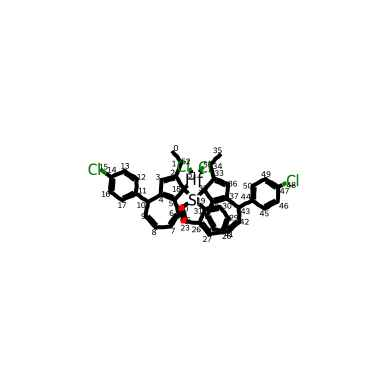 CCC1=CC2=C(C=CC=CC2c2ccc(Cl)cc2)[C]12[Si]1(c3ccccc3-c3ccccc31)[C]1(C(CC)=CC3=C1C=CC=CC3c1ccc(Cl)cc1)[Hf]2([Cl])[Cl]